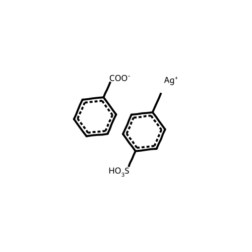 Cc1ccc(S(=O)(=O)O)cc1.O=C([O-])c1ccccc1.[Ag+]